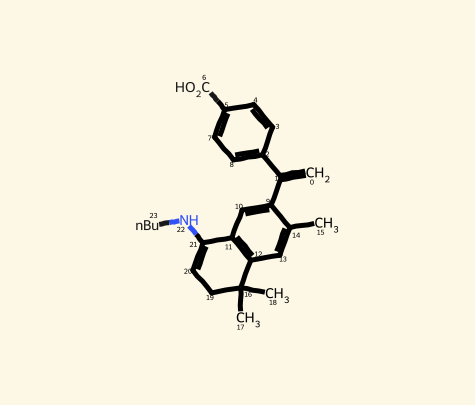 C=C(c1ccc(C(=O)O)cc1)c1cc2c(cc1C)C(C)(C)CC=C2NCCCC